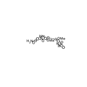 COc1cc2c(cc1OCCCCCOc1cc3c(cc1OC)C(=O)N1Cc4cc(OCC(N)=O)ccc4C[C@H]1C=N3)N=C[C@@H]1Cc3ccccc3CN1C2=O